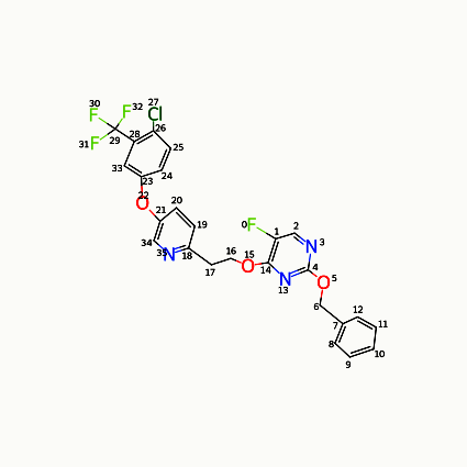 Fc1cnc(OCc2ccccc2)nc1OCCc1ccc(Oc2ccc(Cl)c(C(F)(F)F)c2)cn1